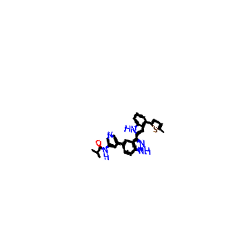 Cc1ccc(-c2cccc3[nH]c(-c4n[nH]c5ccc(-c6cncc(NC(=O)C(C)C)c6)cc45)cc23)s1